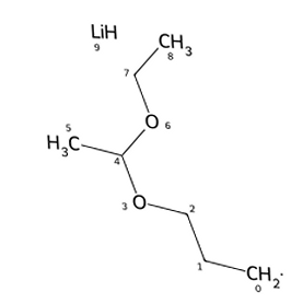 [CH2]CCOC(C)OCC.[LiH]